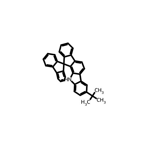 CC(C)(C)c1ccc2[nH]c3c4c(ccc3c2c1)-c1ccccc1C41c2ccccc2-c2ccccc21